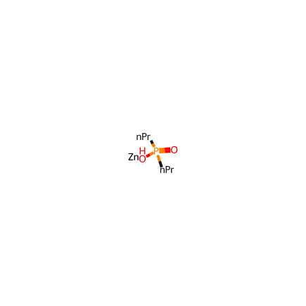 CCCP(=O)(O)CCC.[Zn]